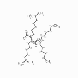 CC(C)CCCCCC(C(=O)[O-])=C(CCCCCC(C)C)C(=O)[O-].CCCCC[CH2][Sn+2][CH2]CCCCC